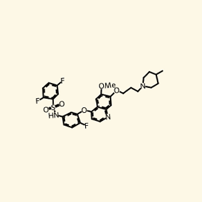 COc1cc2c(Oc3cc(NS(=O)(=O)c4cc(F)ccc4F)ccc3F)ccnc2cc1OCCCN1CCC(C)CC1